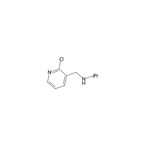 CC(C)NCc1cccnc1Cl